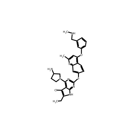 CCc1[nH]c2nc(Sc3ccc4c(Oc5cccc(CNC)c5)cc(C)nc4c3)nc(N3CCC(N)C3)c2c1Cl